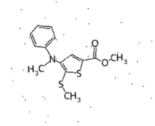 COC(=O)c1cc(N(C)c2ccccc2)c(SC)s1